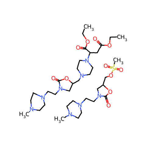 CCOC(=O)CC(C(=O)OCC)N1CCN(CC2CN(CCN3CCN(C)CC3)C(=O)O2)CC1.CN1CCN(CCN2CC(COS(C)(=O)=O)OC2=O)CC1